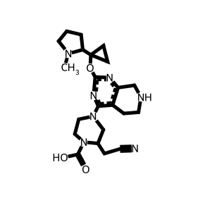 CN1CCCC1C1(Oc2nc3c(c(N4CCN(C(=O)O)C(CC#N)C4)n2)CCNC3)CC1